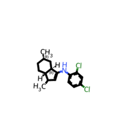 CC1C=C(Nc2ccc(Cl)cc2Cl)[C@@H]2C[C@H](C)CC[C@@H]12